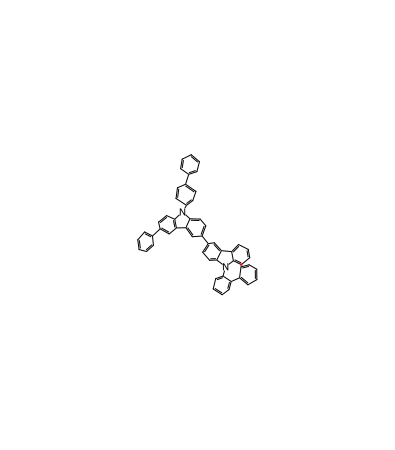 c1ccc(-c2ccc(-n3c4ccc(-c5ccccc5)cc4c4cc(-c5ccc6c(c5)c5ccccc5n6-c5ccccc5-c5ccccc5)ccc43)cc2)cc1